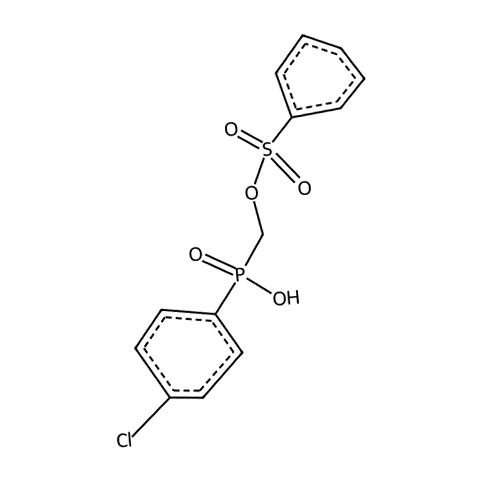 O=P(O)(COS(=O)(=O)c1ccccc1)c1ccc(Cl)cc1